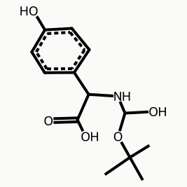 CC(C)(C)OC(O)NC(C(=O)O)c1ccc(O)cc1